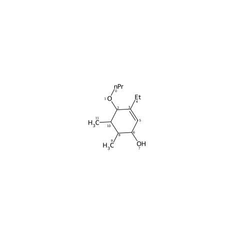 CCCOC1C(CC)=CC(O)C(C)C1C